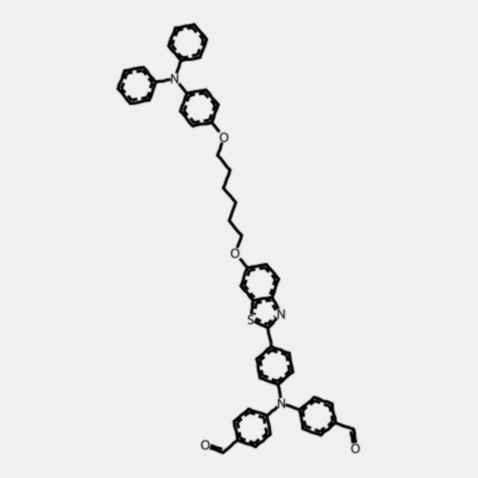 O=Cc1ccc(N(c2ccc(C=O)cc2)c2ccc(-c3nc4ccc(OCCCCCCOc5ccc(N(c6ccccc6)c6ccccc6)cc5)cc4s3)cc2)cc1